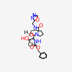 CC1N(Cc2nnco2)C(=O)C12CCCN2C(=O)[C@@H](NC(=O)OCc1ccccc1)[C@@H](C)O